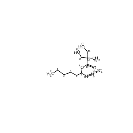 CCCCCC(N=[N+]=[N-])OC(=O)C(C)(CO)CO